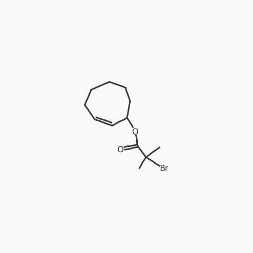 CC(C)(Br)C(=O)OC1/C=C\CCCCC1